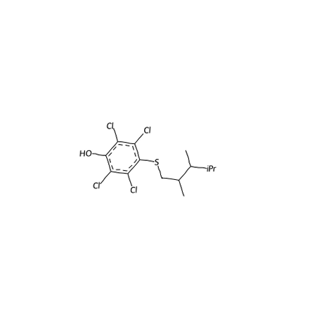 CC(C)C(C)C(C)CSc1c(Cl)c(Cl)c(O)c(Cl)c1Cl